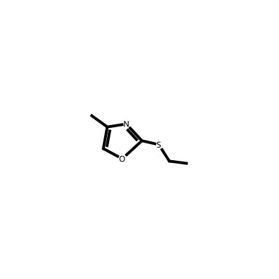 CCSc1nc(C)co1